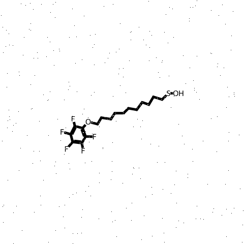 OSCCCCCCCCCCCOc1c(F)c(F)c(F)c(F)c1F